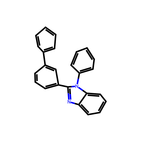 c1ccc(-c2cccc(-c3nc4ccccc4n3-c3ccccc3)c2)cc1